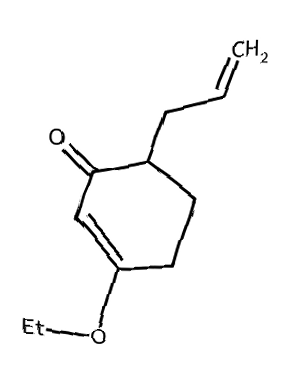 C=CCC1CCC(OCC)=CC1=O